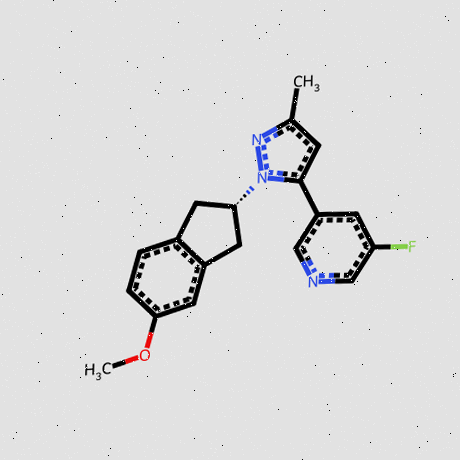 COc1ccc2c(c1)C[C@@H](n1nc(C)cc1-c1cncc(F)c1)C2